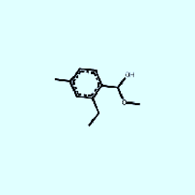 CCc1cc(C)ccc1C(O)OC